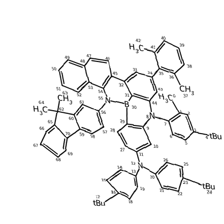 Cc1cc(C(C)(C)C)ccc1N1c2cc(N(c3ccc(C(C)(C)C)cc3)c3ccc(C(C)(C)C)cc3)ccc2B2c3c(cc(-c4c(C)cccc4C)cc31)-c1ccc3ccccc3c1N2c1ccc2c(c1)C(C)(C)c1ccccc1-2